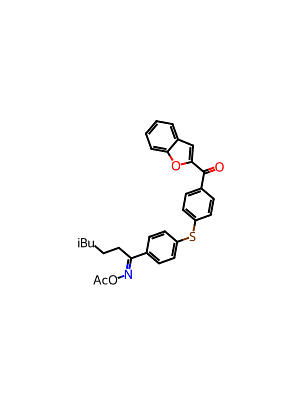 CCC(C)CC/C(=N\OC(C)=O)c1ccc(Sc2ccc(C(=O)c3cc4ccccc4o3)cc2)cc1